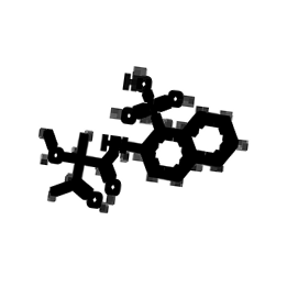 COC(C)(C(C)=O)C(=O)Nc1ccc2ccccc2c1S(=O)(=O)O